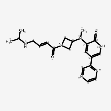 CC(C)NCC=CC(=O)N1CC(N(C)c2cc(-c3cnccn3)c[nH]c2=O)C1